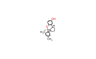 CC[C@]1(c2ccc(C)cc2)Oc2ccc(O)cc2[C@@H]2CCC[C@@H]21